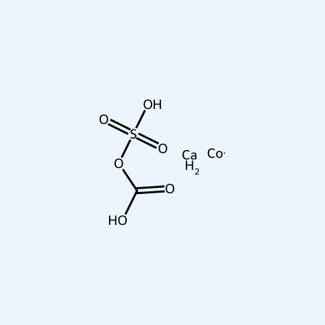 O=C(O)OS(=O)(=O)O.[CaH2].[Co]